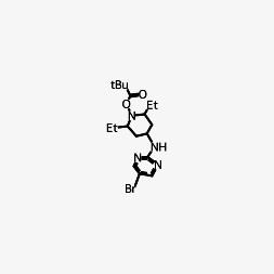 CCC1CC(Nc2ncc(Br)cn2)CC(CC)N1OC(=O)C(C)(C)C